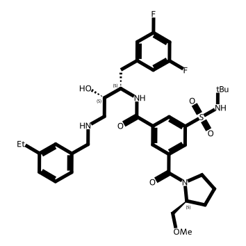 CCc1cccc(CNC[C@H](O)[C@H](Cc2cc(F)cc(F)c2)NC(=O)c2cc(C(=O)N3CCC[C@H]3COC)cc(S(=O)(=O)NC(C)(C)C)c2)c1